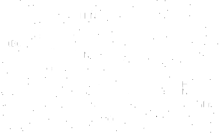 CCCNc1ccc2c(c1)C(CC(=C/N)/N=C/C(=O)OC(C)(C)C)CCO2